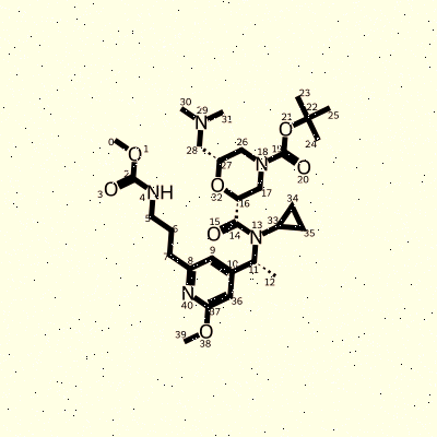 COC(=O)NCCCc1cc([C@@H](C)N(C(=O)[C@H]2CN(C(=O)OC(C)(C)C)C[C@@H](CN(C)C)O2)C2CC2)cc(OC)n1